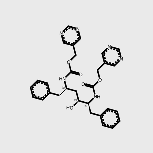 O=C(N[C@@H](Cc1ccccc1)C[C@H](O)[C@H](Cc1ccccc1)NC(=O)OCc1cncnc1)OCc1cncnc1